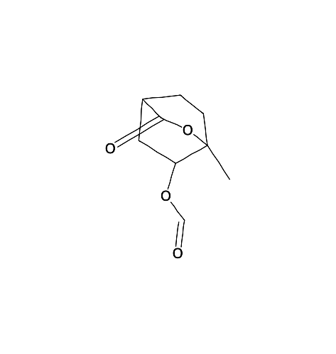 CC12CCC(CC1OC=O)C(=O)O2